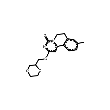 Cc1ccc2c(c1)CCn1c-2cc(OCC2COCCO2)nc1=O